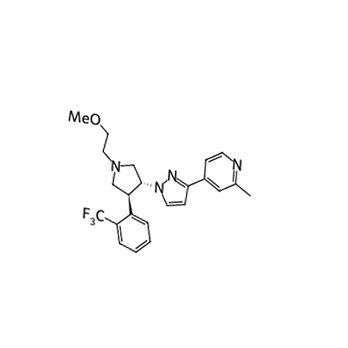 COCCN1C[C@H](c2ccccc2C(F)(F)F)[C@@H](n2ccc(-c3ccnc(C)c3)n2)C1